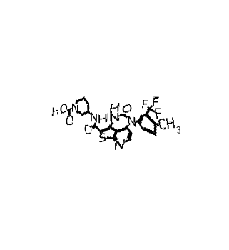 Cc1ccc(N2C(=O)Nc3c(C(=O)NC4CCCN(C(=O)O)C4)sc4nccc2c34)cc1C(F)(F)F